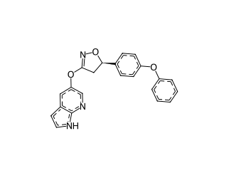 c1ccc(Oc2ccc([C@H]3CC(Oc4cnc5[nH]ccc5c4)=NO3)cc2)cc1